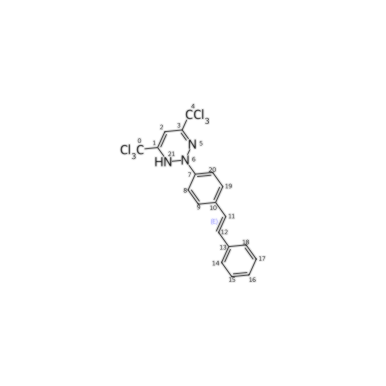 ClC(Cl)(Cl)C1=CC(C(Cl)(Cl)Cl)=NN(c2ccc(/C=C/c3ccccc3)cc2)N1